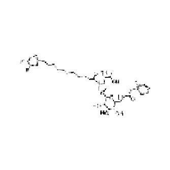 Cc1ccccc1CC(=O)NCC1O[C@H](OC[C@H](NC(=O)CCCCCCCCCCc2ccc(F)c(F)c2)[C@H](O)[C@@H](C)O)C(O)C(O)[C@H]1O